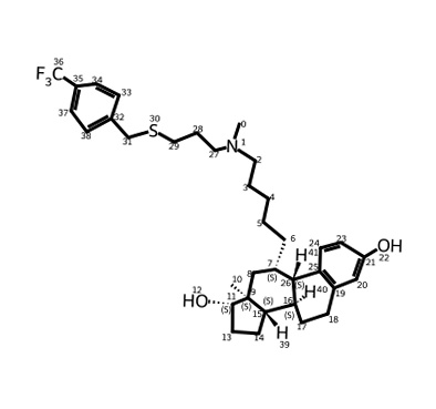 CN(CCCCC[C@H]1C[C@]2(C)[C@@H](O)CC[C@H]2[C@@H]2CCc3cc(O)ccc3[C@@H]12)CCCSCc1ccc(C(F)(F)F)cc1